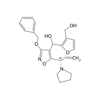 C=C[C@@H](c1onc(OCc2ccccc2)c1C(O)c1occc1CO)N1CCCC1